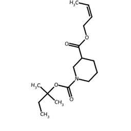 C/C=C\COC(=O)C1CCCN(C(=O)OC(C)(C)CC)C1